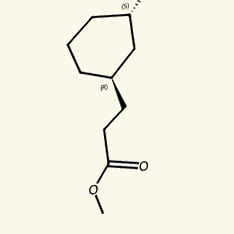 COC(=O)CC[C@H]1CCC[C@H](N)C1